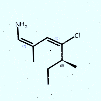 CC[C@H](C)/C(Cl)=C\C(C)=C/N